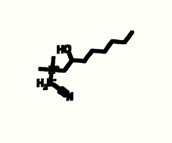 CCCCCCC(O)C[N+](C)(C)[BH2-]C#N